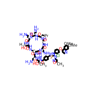 COc1cc2nccc(Oc3ccc(N/C(=N/c4cc(C)on4)SCc4ccc(C(=O)N[C@H](C(=O)N[C@H](CCN)C(=O)N[C@@H]5CCNC(=O)[C@H]([C@@H](C)O)NC(=O)[C@H](CCN)NC(=O)[C@H](CCN)NC(=O)[C@H](CC(C)C)NC(=O)CNC(=O)[C@H](CCN)NC5=O)[C@H](C)O)cc4)c(Cl)c3)c2cc1OC